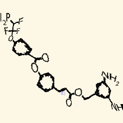 Nc1cc(N)cc(COC(=O)/C=C/c2ccc(OC(=O)c3ccc(OC(F)(F)C(F)P)cc3)cc2)c1